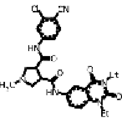 CCn1c(=O)c2cc(NC(=O)C3CN(C)CC3C(=O)Nc3ccc(C#N)c(Cl)c3)ccc2n(CC)c1=O